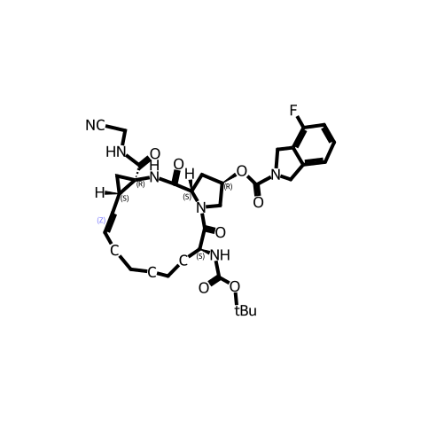 CC(C)(C)OC(=O)N[C@H]1CCCCC/C=C\[C@@H]2C[C@@]2(C(=O)NCC#N)NC(=O)[C@@H]2C[C@@H](OC(=O)N3Cc4cccc(F)c4C3)CN2C1=O